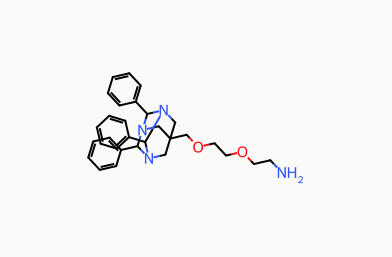 NCCOCCOCC12CN3C(c4ccccc4)N(C1)C(c1ccccc1)N(C2)C3c1ccccc1